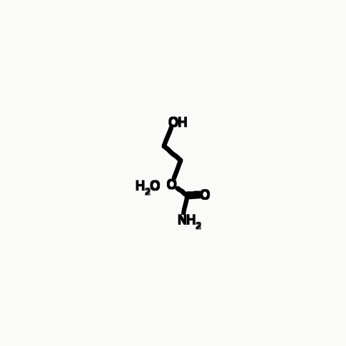 NC(=O)OCCO.O